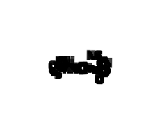 C=C(/C=C1/SCCO/C1=N/N)CNC1CCN(CCn2c(=O)ccc3ncc(C#N)cc32)CC1